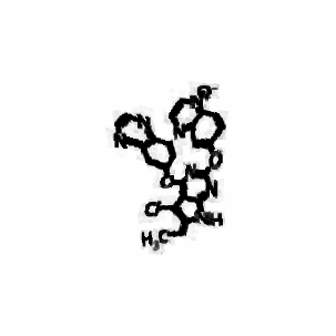 CCc1[nH]c2nc(Oc3ccc4c(c3)ncc[n+]4[O-])nc(Oc3ccc4nccnc4c3)c2c1Cl